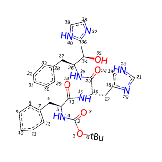 CC(C)(C)OC(=O)N[C@@H](Cc1ccccc1)C(=O)N[C@@H](Cc1c[nH]cn1)C(=O)N[C@@H](Cc1ccccc1)[C@H](O)c1ncc[nH]1